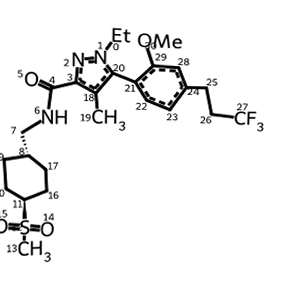 CCn1nc(C(=O)NC[C@H]2CC[C@H](S(C)(=O)=O)CC2)c(C)c1-c1ccc(CCC(F)(F)F)cc1OC